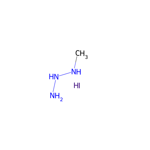 CNNN.I